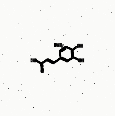 O=C(O)/C=C/c1ccc(O)c(O)c1.[PbH2]